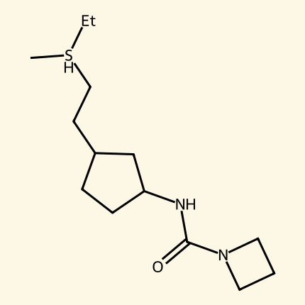 CC[SH](C)CCC1CCC(NC(=O)N2CCC2)C1